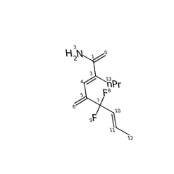 C=C(N)/C(=C/C(=C)C(F)(F)/C=C/C)CCC